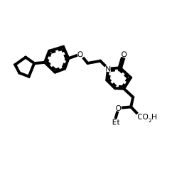 CCOC(Cc1ccn(CCOc2ccc(C3CCCC3)cc2)c(=O)c1)C(=O)O